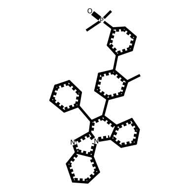 Cc1cc(-c2c(-c3ccccc3)c3nc4ccccc4n3c3ccccc23)ccc1-c1cccc(P(C)(C)=O)c1